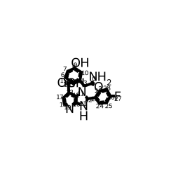 NC(=O)C(c1cccc(O)c1)N1c2c(C(=O)O)ccnc2NC1c1ccc(F)cc1